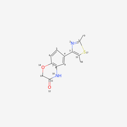 Cc1nc(-c2ccc3c(c2)NC(=O)CO3)c(C)s1